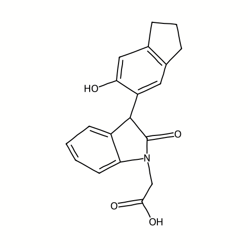 O=C(O)CN1C(=O)C(c2cc3c(cc2O)CCC3)c2ccccc21